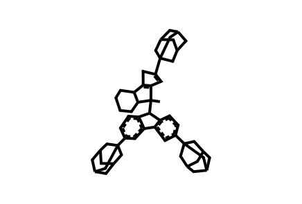 CC1(C2c3ccc(C45CC6CC(CC(C6)C4)C5)cc3-c3cc(C45CC6CC(CC(C6)C4)C5)ccc32)C2=C(CC(C34CC5CC(CC(C5)C3)C4)=C2)C2CCCCC21